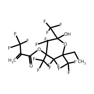 C=C(C(=O)OC1(C(F)(F)F)C(F)(F)C(O)(C(F)(F)F)OC(CC)(C(F)(F)F)C1(F)F)C(F)(F)F